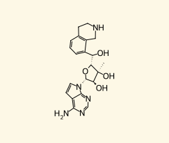 C[C@@]1(O)[C@@H](C(O)c2cccc3c2CNCC3)O[C@@H](n2ccc3c(N)ncnc32)[C@@H]1O